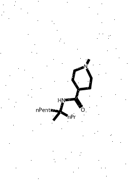 CCCCCC(C)(CCC)NC(=O)C1CCN(C)CC1